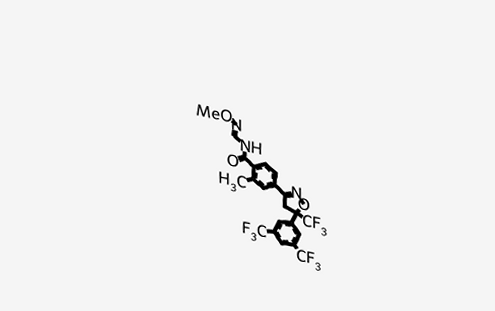 CON=CNC(=O)c1ccc(C2=NOC(c3cc(C(F)(F)F)cc(C(F)(F)F)c3)(C(F)(F)F)C2)cc1C